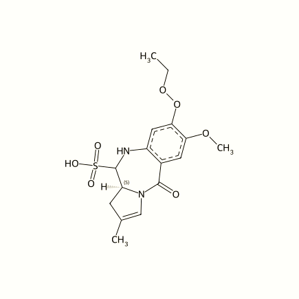 CCOOc1cc2c(cc1OC)C(=O)N1C=C(C)C[C@H]1C(S(=O)(=O)O)N2